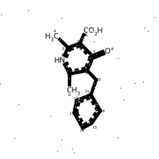 Cc1[nH]c(C)c(C(=O)O)c(=O)c1Cc1ccccc1